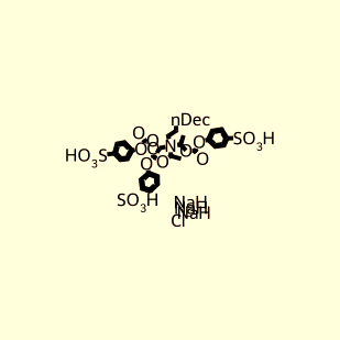 CCCCCCCCCCCC[N+](C(C)OC(=O)Oc1ccc(S(=O)(=O)O)cc1)(C(C)OC(=O)Oc1ccc(S(=O)(=O)O)cc1)C(C)OC(=O)Oc1ccc(S(=O)(=O)O)cc1.[Cl-].[NaH].[NaH].[NaH]